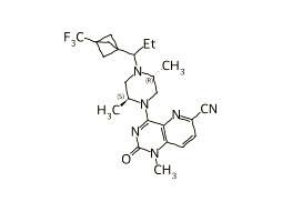 CCC(N1C[C@H](C)N(c2nc(=O)n(C)c3ccc(C#N)nc23)C[C@H]1C)C12CC(C(F)(F)F)(C1)C2